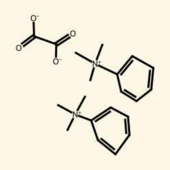 C[N+](C)(C)c1ccccc1.C[N+](C)(C)c1ccccc1.O=C([O-])C(=O)[O-]